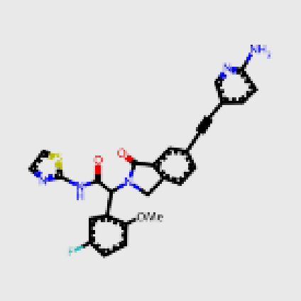 COc1ccc(F)cc1C(C(=O)Nc1nccs1)N1Cc2ccc(C#Cc3ccc(N)nc3)cc2C1=O